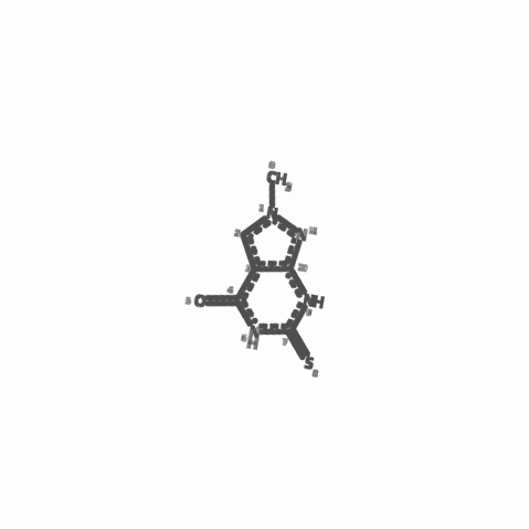 Cn1cc2c(=O)[nH]c(=S)[nH]c2n1